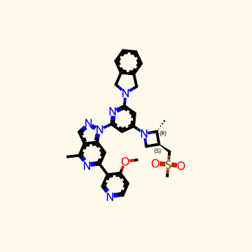 COc1ccncc1-c1cc2c(cnn2-c2cc(N3C[C@H](CS(C)(=O)=O)[C@H]3C)cc(N3Cc4ccccc4C3)n2)c(C)n1